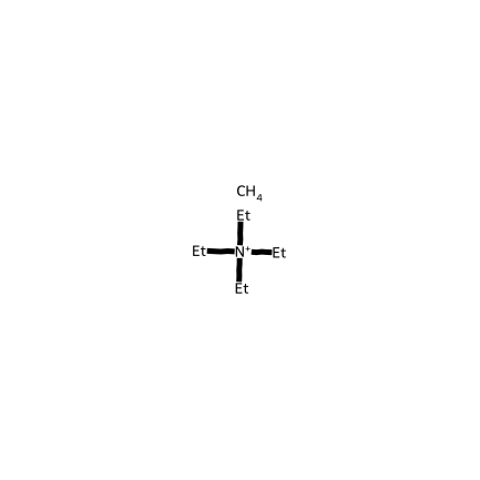 C.CC[N+](CC)(CC)CC